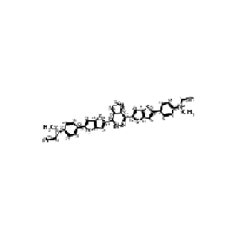 CC(C)CN(C)c1ccc(-c2cc3sc(-c4nnc(-c5cc6sc(-c7ccc(N(C)CC(C)C)cc7)cc6s5)c5nsnc45)cc3s2)cc1